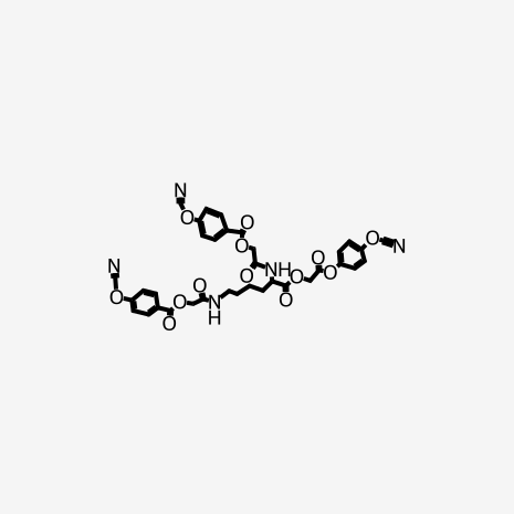 N#COc1ccc(OC(=O)COC(=O)C(CCCCNC(=O)COC(=O)c2ccc(OC#N)cc2)NC(=O)COC(=O)c2ccc(OC#N)cc2)cc1